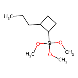 CCCC1CCC1[Si](OC)(OC)OC